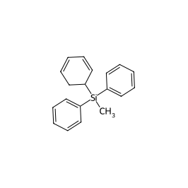 C[Si](c1ccccc1)(c1ccccc1)C1C=CC=CC1